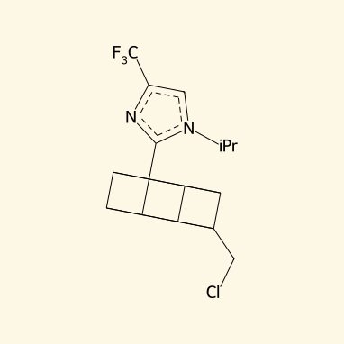 CC(C)n1cc(C(F)(F)F)nc1C12C3C4C1C1C2C3C41CCl